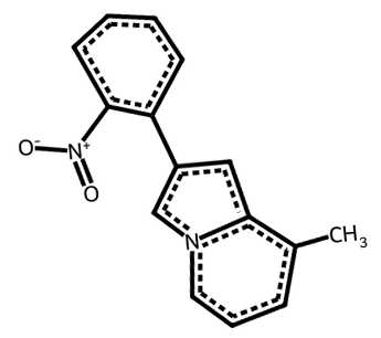 Cc1cccn2cc(-c3ccccc3[N+](=O)[O-])cc12